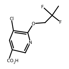 CC(F)(F)COc1ncc(C(=O)O)cc1Cl